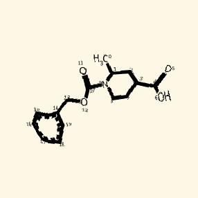 CC1CC(C(=O)O)CCN1C(=O)OCc1ccccc1